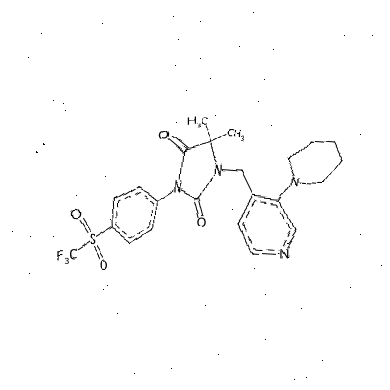 CC1(C)C(=O)N(c2ccc(S(=O)(=O)C(F)(F)F)cc2)C(=O)N1Cc1ccncc1N1CCCCC1